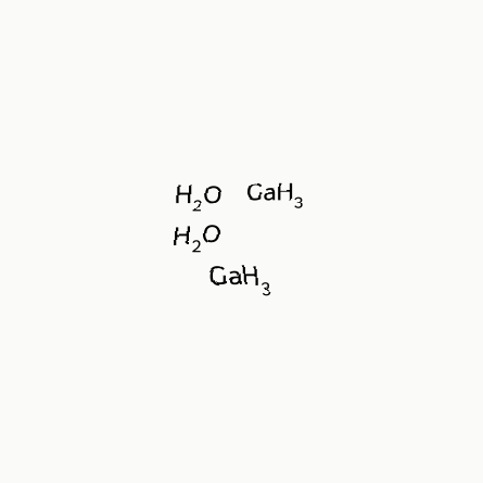 O.O.[GaH3].[GaH3]